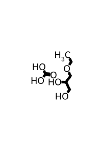 CCOCC(O)CO.O=C(O)O